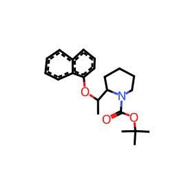 CC(Oc1cccc2ccccc12)C1CCCCN1C(=O)OC(C)(C)C